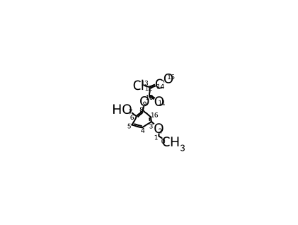 CCOc1ccc(O)c(OC(=O)C(Cl)=C=O)c1